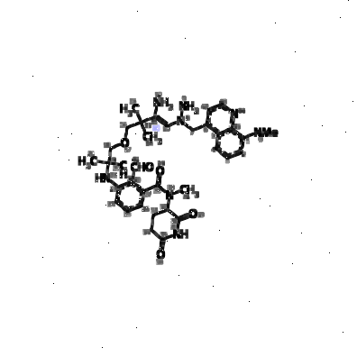 CNc1cccc2c(CN(N)/C=C(\N)C(C)(C)COCC(C)(C)Nc3cccc(C(=O)N(C)C4CCC(=O)NC4=O)c3C=O)ccnc12